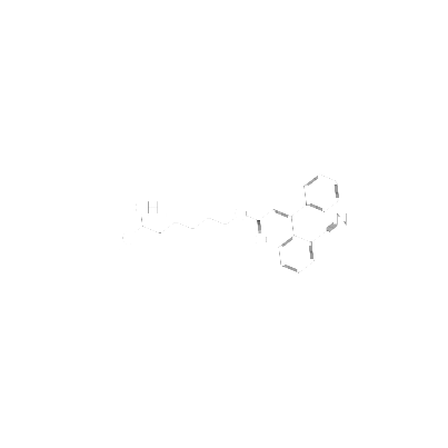 CC(C)CCCCCOC(=O)C=C(c1ccccc1)c1ccccc1C#N